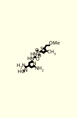 COCCc1sc(S(=O)(=O)NC(=O)Nc2cc(/C(N)=N/O)cc(N)n2)cc1C